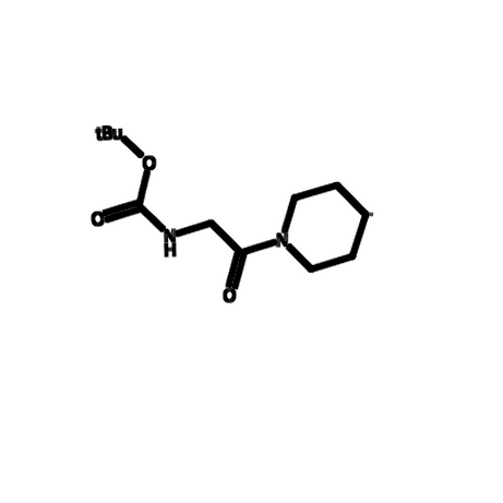 CC(C)(C)OC(=O)NCC(=O)N1CC[CH]CC1